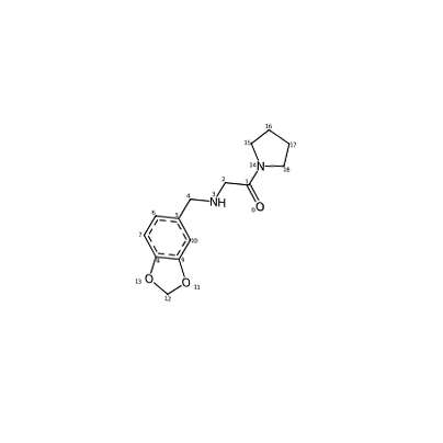 O=C(CNCc1ccc2c(c1)OCO2)N1CCCC1